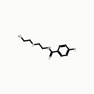 O=C(NCCOCCO)c1ccc(Cl)cc1